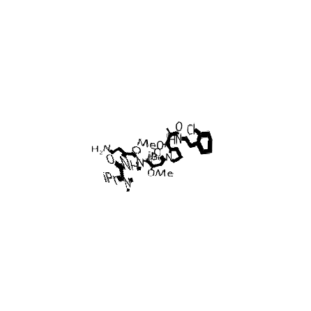 CC[C@H](C)[C@@H]([C@@H](CC(=O)N1CCCC1[C@H](OC)[C@@H](C)C(=O)NCCc1ccccc1Cl)OC)N(C)C(=O)C(CCN)NC(=O)C(C(C)C)N(C)C